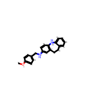 COc1ccc(CNc2ccc3c(c2)CCc2ccccc2N3)cc1